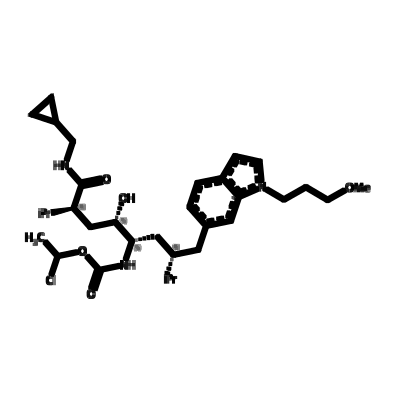 COCCCn1ccc2ccc(C[C@@H](C[C@H](NC(=O)OC(C)Cl)[C@@H](O)C[C@H](C(=O)NCC3CC3)C(C)C)C(C)C)cc21